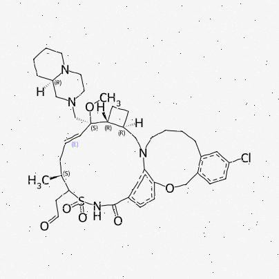 CO[C@]1(CN2CCN3CCCC[C@@H]3C2)/C=C/C[C@H](C)C(CC=O)S(=O)(=O)NC(=O)c2ccc3c(c2)N(CCCCc2cc(Cl)ccc2CO3)C[C@@H]2CC[C@H]21